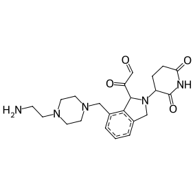 NCCN1CCN(Cc2cccc3c2C(C(=O)C=O)N(C2CCC(=O)NC2=O)C3)CC1